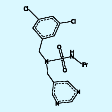 CC(C)NS(=O)(=O)N(Cc1cncnc1)Cc1cc(Cl)cc(Cl)c1